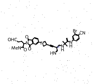 C=C(Nc1ccc(C#N)c(Br)c1)C(C)(C)N/C=C(/C#CC1CN(c2ccc3c(c2)C(=O)N(C(CCC=O)C(=O)NC)C3=O)C1)C=N